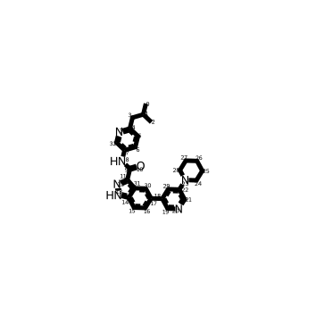 CC(C)Cc1ccc(NC(=O)c2n[nH]c3ccc(-c4cncc(N5CCCCC5)c4)cc23)cn1